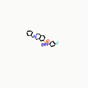 O=S(=O)(Nc1ccc(F)cc1)c1ccc2c(c1)CN(Cc1ccccc1)CC2